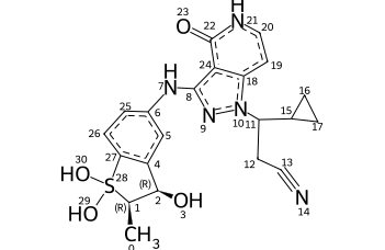 C[C@@H]1[C@H](O)c2cc(Nc3nn(C(CC#N)C4CC4)c4cc[nH]c(=O)c34)ccc2S1(O)O